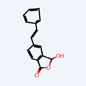 O=C1OC(O)c2cc(C=Cc3ccccc3)ccc21